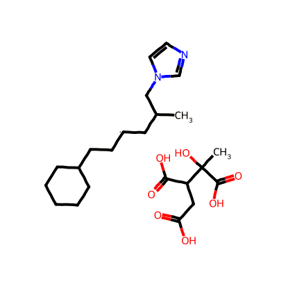 CC(C[CH]CCC1CCCCC1)Cn1ccnc1.CC(O)(C(=O)O)C(CC(=O)O)C(=O)O